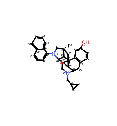 Oc1ccc2c(c1)C13CCN(CC4CC4)C(C2)C12CCC1C3[C@@H](CN1c1cccc3ccccc13)C2